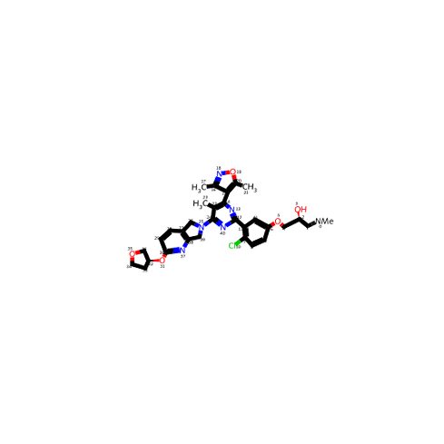 CNC[C@@H](O)COc1ccc(Cl)c(-c2nc(-c3c(C)noc3C)c(C)c(N3Cc4ccc(O[C@H]5CCOC5)nc4C3)n2)c1